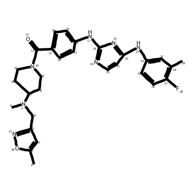 Cc1cc(CN(C)C2CCN(C(=O)c3ccc(Nc4nccc(Nc5ccc(F)c(C)c5)n4)cc3)CC2)no1